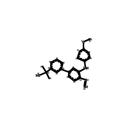 CC(C)Oc1ccc(Nc2cc(-c3cccc(C(C)(C)O)c3)ccc2N=N)cc1